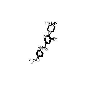 N=S1(=O)CCN(c2ncc(C(=O)Nc3ccc(OC(F)(F)F)cc3)cc2Br)CC1